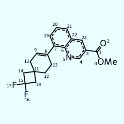 COC(=O)c1cnc2c(C3=CCC4(CC3)CC(F)(F)C4)cccc2c1